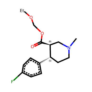 CCOCOC(=O)[C@H]1CN(C)CC[C@@H]1c1ccc(F)cc1